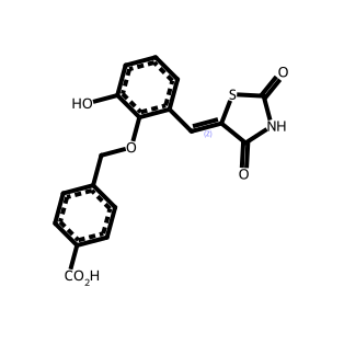 O=C1NC(=O)/C(=C/c2cccc(O)c2OCc2ccc(C(=O)O)cc2)S1